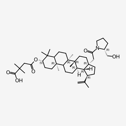 C=C(C)[C@@H]1CC[C@]2(CC(=O)N3CCC[C@@H]3CO)CC[C@]3(C)[C@H](CCC4[C@@]5(C)CC[C@H](OC(=O)CC(C)(C)C(=O)O)C(C)(C)C5CC[C@]43C)[C@@H]12